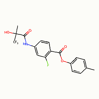 Cc1ccc(OC(=O)c2ccc(NC(=O)C(C)(O)C(F)(F)F)cc2F)cc1